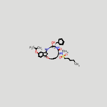 CCCCCS(=O)(=O)N(C)[C@H]1CC=CCO[C@@H]2C[C@H](NC[C@@H](O)[C@H](Cc3ccccc3)NC1=O)c1cc(OC(C)C)ccc12